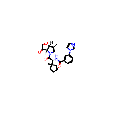 C[C@H]1CN(C(=O)[C@@H](NC(=O)c2cccc(-n3ccnc3)c2)C2(C)CCCC2)[C@@H]2C(=O)CO[C@@H]21